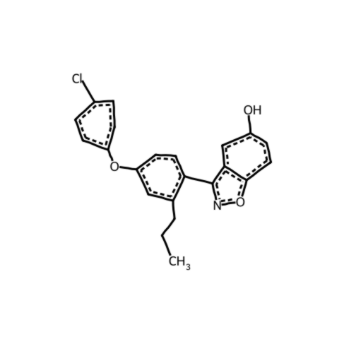 CCCc1cc(Oc2ccc(Cl)cc2)ccc1-c1noc2ccc(O)cc12